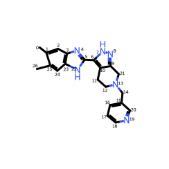 Cc1cc2nc(-c3[nH]nc4c3CCN(Cc3cccnc3)C4)[nH]c2cc1C